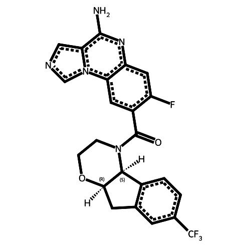 Nc1nc2cc(F)c(C(=O)N3CCO[C@@H]4Cc5cc(C(F)(F)F)ccc5[C@@H]43)cc2n2cncc12